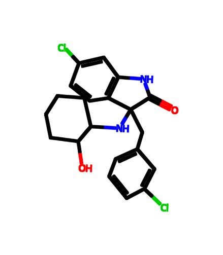 O=C1Nc2cc(Cl)ccc2C1(Cc1cccc(Cl)c1)NC1CCCCC1O